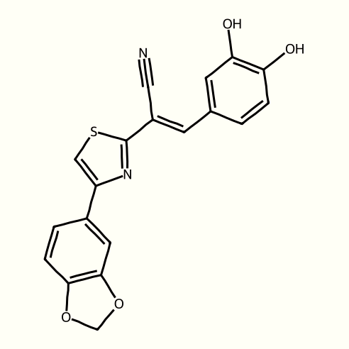 N#CC(=Cc1ccc(O)c(O)c1)c1nc(-c2ccc3c(c2)OCO3)cs1